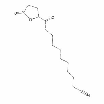 N#CCCCCCCCCCC(=O)C1CCC(=O)O1